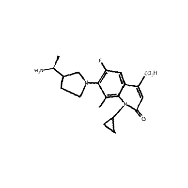 Cc1c(N2CCC([C@H](C)N)C2)c(F)cc2c(C(=O)O)cc(=O)n(C3CC3)c12